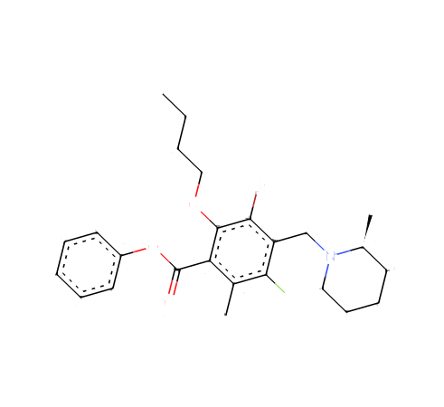 CCCCOc1c(Br)c(CN2CCCC[C@@H]2C)c(F)c(C)c1C(=O)Oc1ccccc1